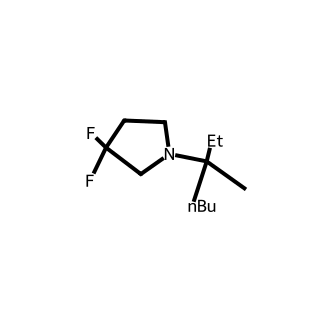 CCCCC(C)(CC)N1CCC(F)(F)C1